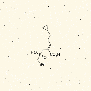 CC(C)CP(=O)(O)CC(=CCCC1CC1)C(=O)O